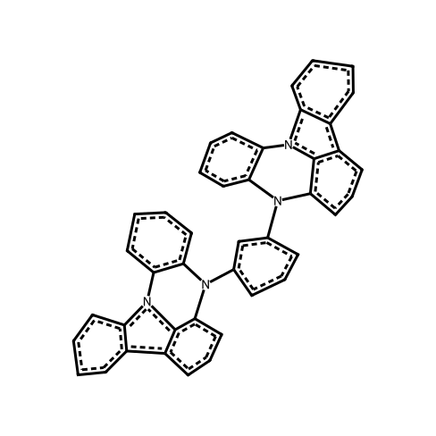 c1cc(N2c3ccccc3-n3c4ccccc4c4cccc2c43)cc(N2c3ccccc3-n3c4ccccc4c4cccc2c43)c1